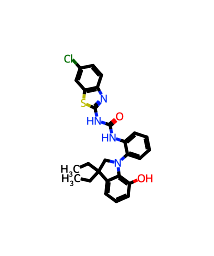 CCC1(CC)CN(c2ccccc2NC(=O)Nc2nc3ccc(Cl)cc3s2)c2c(O)cccc21